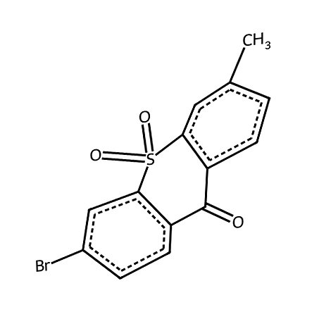 Cc1ccc2c(c1)S(=O)(=O)c1cc(Br)ccc1C2=O